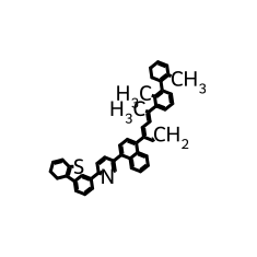 C=C/C(=C\C=C(/C)c1cccc(C2=C(C)C=CCC2)c1C)c1ccc(-c2ccc(-c3cccc4c5c(sc34)C=CCC5)nc2)c2ccccc12